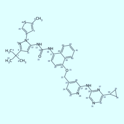 Cc1cc(-n2nc(C(C)(C)C)cc2NC(=O)Nc2ccc(OCc3ccnc(Nc4cncc(C5CC5)n4)c3)c3ccccc23)cs1